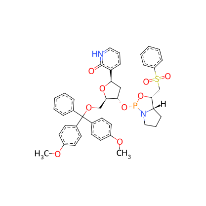 COc1ccc(C(OC[C@H]2O[C@@H](c3ccc[nH]c3=O)C[C@@H]2O[P@]2O[C@H](CS(=O)(=O)c3ccccc3)[C@@H]3CCCN32)(c2ccccc2)c2ccc(OC)cc2)cc1